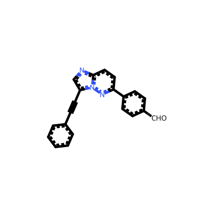 O=Cc1ccc(-c2ccc3ncc(C#Cc4ccccc4)n3n2)cc1